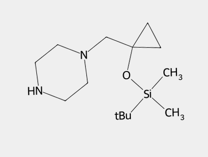 CC(C)(C)[Si](C)(C)OC1(CN2CCNCC2)CC1